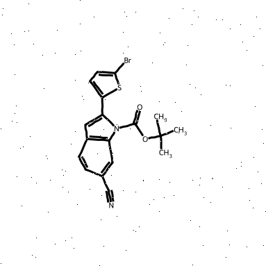 CC(C)(C)OC(=O)n1c(-c2ccc(Br)s2)cc2ccc(C#N)cc21